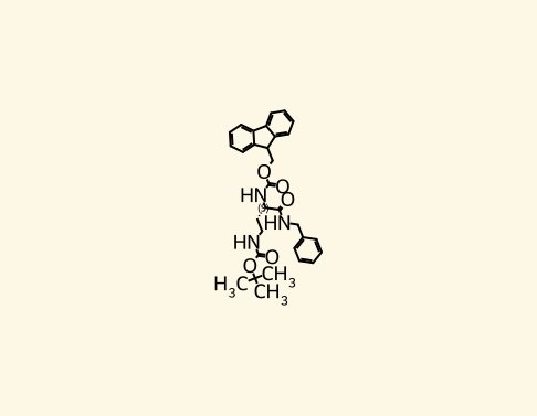 CC(C)(C)OC(=O)NCC[C@H](NC(=O)OCC1c2ccccc2-c2ccccc21)C(=O)NCc1ccccc1